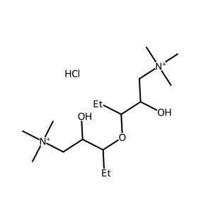 CCC(OC(CC)C(O)C[N+](C)(C)C)C(O)C[N+](C)(C)C.Cl